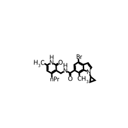 CCCc1cc(C)[nH]c(=O)c1CNC(=O)c1cc(Br)c2ccn(C3CC3)c2c1C